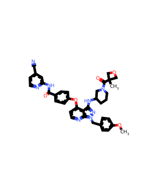 COc1ccc(Cn2nc(NC3CCCN(C(=O)C4(C)COC4)C3)c3c(Oc4ccc(C(=O)Nc5cc(C#N)ccn5)cc4)ccnc32)cc1